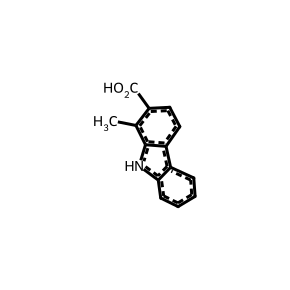 Cc1c(C(=O)O)ccc2c1[nH]c1ccccc12